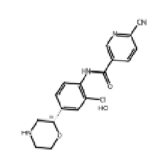 Cl.N#Cc1ccc(C(=O)Nc2ccc([C@H]3CNCCO3)cc2Cl)cn1